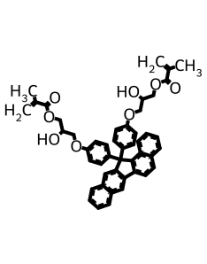 C=C(C)C(=O)OCC(O)COc1ccc(C2(c3ccc(OCC(O)COC(=O)C(=C)C)cc3)c3cc4ccccc4cc3-c3ccc4ccccc4c32)cc1